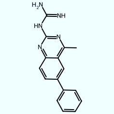 Cc1nc(NC(=N)N)nc2ccc(-c3ccccc3)cc12